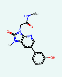 CCCCNC(=O)Cn1c(=O)n(CC)c2cc(-c3cccc(O)c3)cnc21